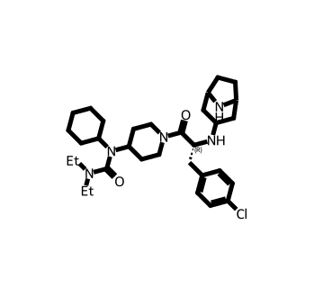 CCN(CC)C(=O)N(C1CCCCC1)C1CCN(C(=O)[C@@H](Cc2ccc(Cl)cc2)NC2CC3CCC(C2)N3)CC1